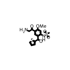 COc1cc(NS(C)(=O)=O)c(C(=O)c2cccs2)cc1C(=O)CN